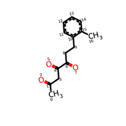 CC(=O)CC(=O)C(=O)CCc1ccc[c]c1C